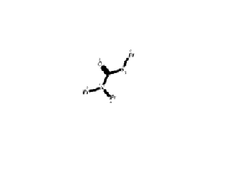 CC(C)SC(=O)N(C(C)C)C(C)C